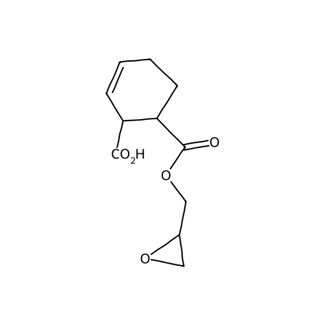 O=C(O)C1C=CCCC1C(=O)OCC1CO1